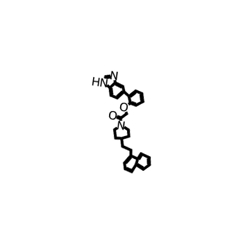 O=C(COc1ccccc1-c1ccc2[nH]cnc2c1)N1CCC(CCc2cccc3ccccc23)CC1